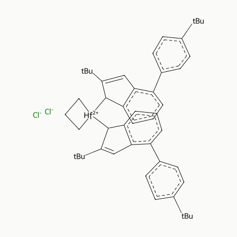 CC(C)(C)C1=Cc2c(-c3ccc(C(C)(C)C)cc3)cccc2[CH]1[Hf+2]1([CH]2C(C(C)(C)C)=Cc3c(-c4ccc(C(C)(C)C)cc4)cccc32)[CH2]C[CH2]1.[Cl-].[Cl-]